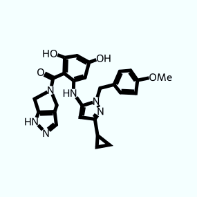 COc1ccc(Cn2nc(C3CC3)cc2Nc2cc(O)cc(O)c2C(=O)N2Cc3cn[nH]c3C2)cc1